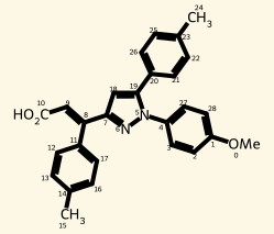 COc1ccc(-n2nc(/C(=C/C(=O)O)c3ccc(C)cc3)cc2-c2ccc(C)cc2)cc1